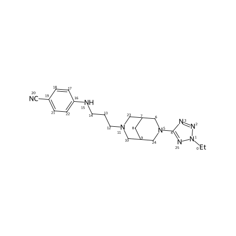 CCn1nnc(N2CC3CC(CN(CCCNc4ccc(C#N)cc4)C3)C2)n1